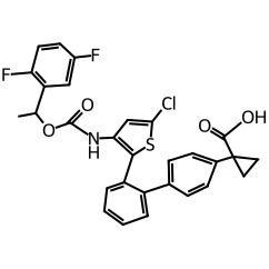 CC(OC(=O)Nc1cc(Cl)sc1-c1ccccc1-c1ccc(C2(C(=O)O)CC2)cc1)c1cc(F)ccc1F